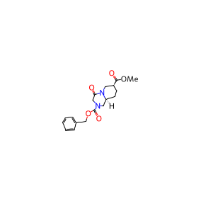 COC(=O)[C@H]1CC[C@H]2CN(C(=O)OCc3ccccc3)CC(=O)N2C1